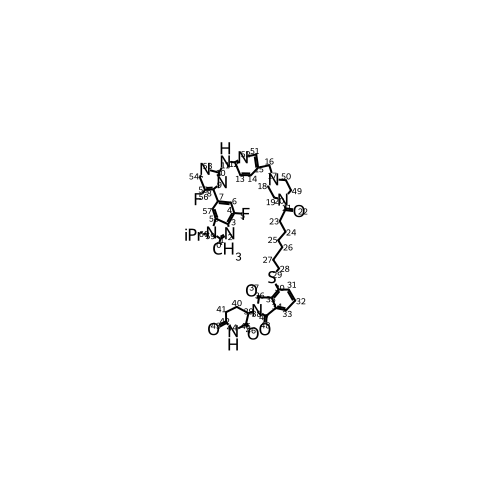 Cc1nc2c(F)cc(-c3nc(Nc4ccc(CN5CCN(C(=O)CCCCCCSc6cccc7c6C(=O)N(C6CCC(=O)NC6=O)C7=O)CC5)cn4)ncc3F)cc2n1C(C)C